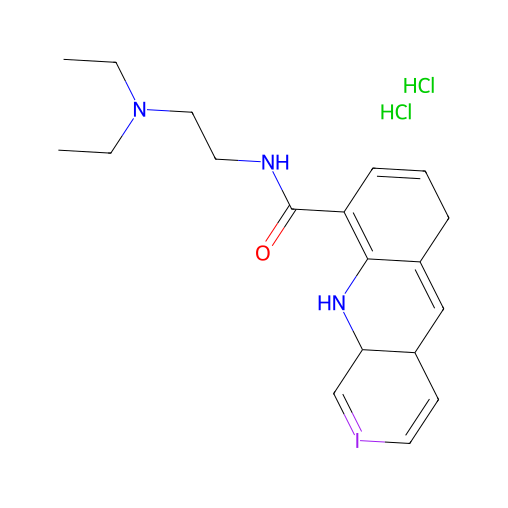 CCN(CC)CCNC(=O)C1=C2NC3C=IC=CC3C=C2CC=C1.Cl.Cl